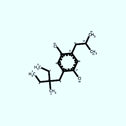 CCC(C)(CC)Cc1cc(Cl)c(CC(C)C)cc1Cl